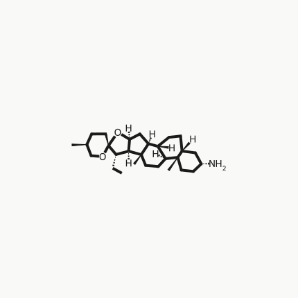 CC[C@H]1[C@H]2[C@H](C[C@H]3[C@@H]4CC[C@@H]5C[C@H](N)CC[C@]5(C)[C@H]4CC[C@]23C)O[C@]12CC[C@H](C)CO2